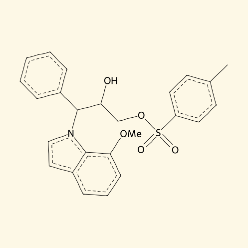 COc1cccc2ccn(C(c3ccccc3)C(O)COS(=O)(=O)c3ccc(C)cc3)c12